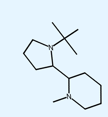 CN1CCCCC1C1CCCN1C(C)(C)C